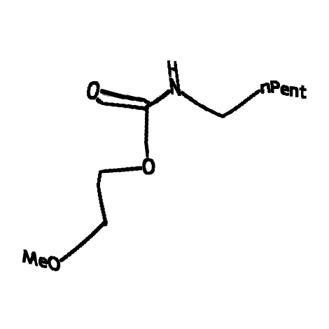 CCCCCCNC(=O)OCCOC